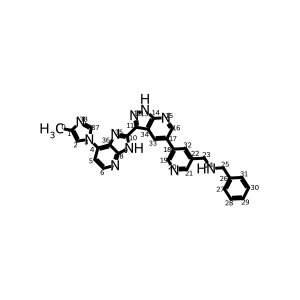 Cc1cn(-c2ccnc3[nH]c(-c4n[nH]c5ncc(-c6cncc(CNCc7ccccc7)c6)cc45)nc23)cn1